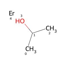 CC(C)O.[Er]